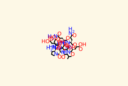 CC(C)[C@H](NC(=O)[C@H](CCC(=O)O)NC(=O)[C@H](CCC(N)=O)NC(=O)[C@H](CCC(N)=O)NC(=O)[C@H](CCC(=O)O)NC(=O)[C@@H](N)CCC(=O)O)C(=O)N1CCC[C@H]1C(=O)N1CCC[C@H]1C(=O)N[C@@H](CC(=O)O)C(=O)O